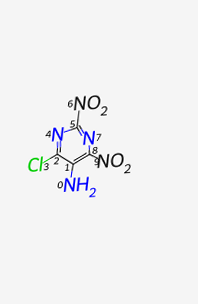 Nc1c(Cl)nc([N+](=O)[O-])nc1[N+](=O)[O-]